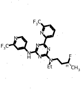 CCN(CC[C@@H](C)F)c1nc(Nc2ccnc(C(F)(F)F)c2)nc(-c2cccc(C(F)(F)F)n2)n1